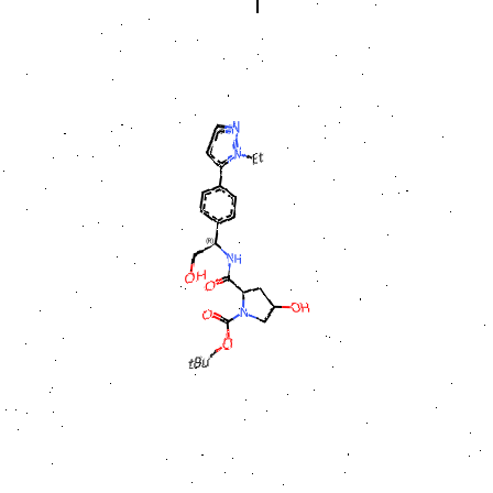 CCn1nccc1-c1ccc([C@H](CO)NC(=O)C2CC(O)CN2C(=O)OC(C)(C)C)cc1